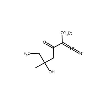 CCOC(=O)C(=[N+]=[N-])C(=O)CC(C)(O)CC(F)(F)F